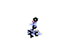 CC1(C)CNCCC1Nc1nc(-c2ccnc(Nc3nc4ccccc4o3)c2)nc2cncc(C3CC3)c12